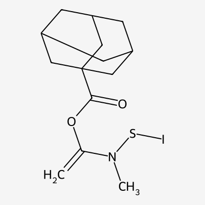 C=C(OC(=O)C12CC3CC(CC(C3)C1)C2)N(C)SI